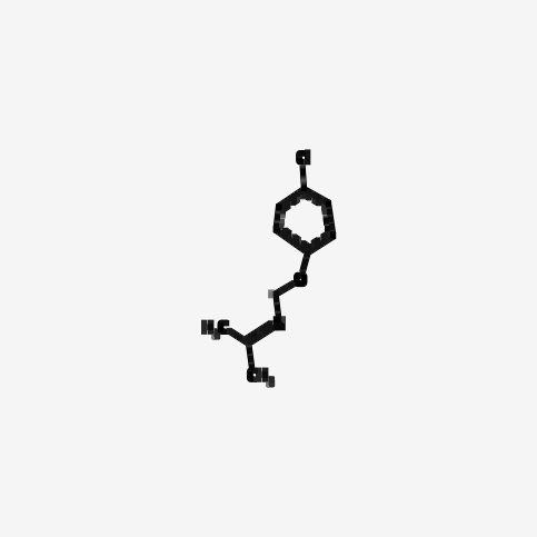 CC(C)=N[C]Oc1ccc(Cl)cc1